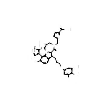 Cc1cc(OCCCc2c3n(c4c(-c5c(C)nn(C)c5C)c(Cl)ccc24)CC(C)CN(Cc2ccc(C(=O)O)o2)C3=O)cc(C)c1Cl